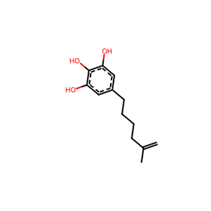 C=C(C)CCCCc1cc(O)c(O)c(O)c1